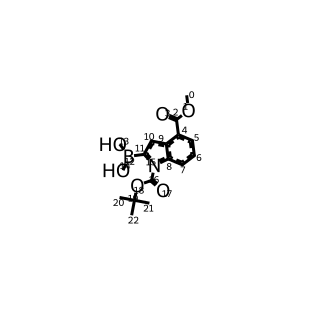 COC(=O)c1cccc2c1cc(B(O)O)n2C(=O)OC(C)(C)C